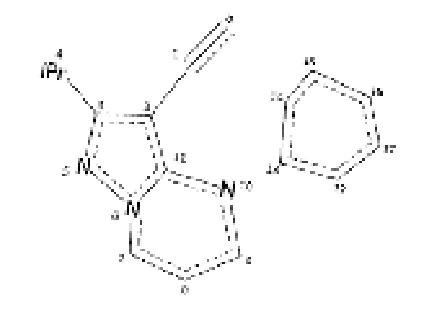 C#Cc1c(C(C)C)nn2cccnc12.c1ccccc1